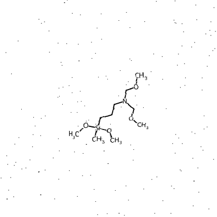 COCN(CCC[Si](C)(OC)OC)COC